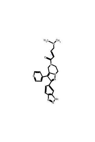 CN(C)C/C=C/C(=O)N1CCn2nc(-c3ccc4nn[nH]c4c3)c(-c3ccncc3)c2C1